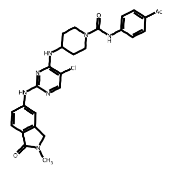 CC(=O)c1ccc(NC(=O)N2CCC(Nc3nc(Nc4ccc5c(c4)CN(C)C5=O)ncc3Cl)CC2)cc1